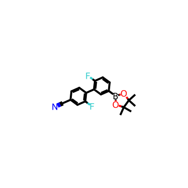 CC1(C)OB(c2ccc(F)c(-c3ccc(C#N)cc3F)c2)OC1(C)C